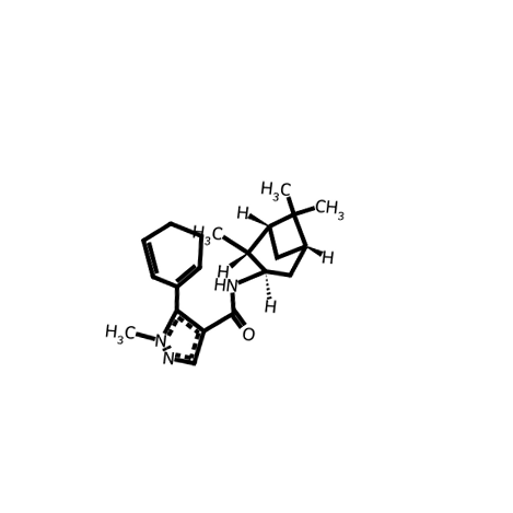 C[C@@H]1[C@H]2C[C@@H](C[C@H]1NC(=O)c1cnn(C)c1C1=CCCC=C1)C2(C)C